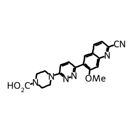 COc1cc2nc(C#N)ccc2cc1-c1ccc(N2CCN(C(=O)O)CC2)nn1